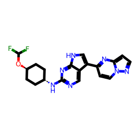 FC(F)O[C@H]1CC[C@H](Nc2ncc3c(-c4ccn5nccc5n4)c[nH]c3n2)CC1